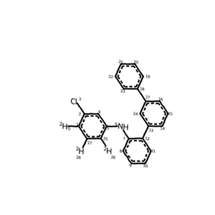 [2H]c1c(Cl)cc(Nc2ccccc2-c2cccc(-c3ccccc3)c2)c([2H])c1[2H]